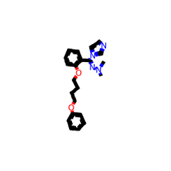 CN(C)/N=C(/c1ccccc1OCCCCOc1ccccc1)n1ccnc1